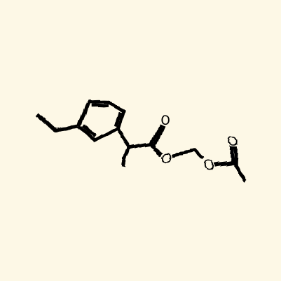 CCc1cccc(C(C)C(=O)OCOC(C)=O)c1